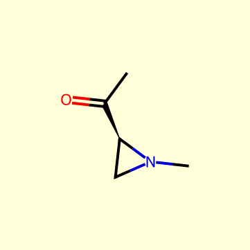 CC(=O)[C@@H]1CN1C